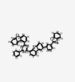 c1ccc(-c2nc(-c3cccc4c3sc3ccc(-c5cccc(-c6nc7ccccc7o6)c5)cc34)nc(-c3cccc4oc5ccccc5c34)n2)cc1